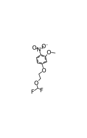 COc1cc(OCCOC(F)F)ccc1[N+](=O)[O-]